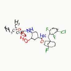 CC(C)(C)OC(=O)N[C@H]1CC(C(=O)N[C@H](c2c(F)ccc(Cl)c2F)C23CCC(F)(CC2)C3)C[C@H]1O